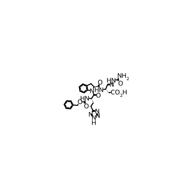 NC(=O)N/N=C/[C@H](CC(=O)O)NC(=O)[C@@H]1Cc2ccccc2N1C(=O)[C@H](CCc1nn[nH]n1)NC(=O)OCc1ccccc1